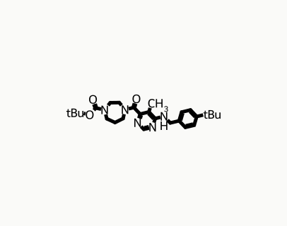 Cc1c(NCc2ccc(C(C)(C)C)cc2)ncnc1C(=O)N1CCCN(C(=O)OC(C)(C)C)CC1